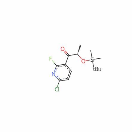 C[C@@H](O[Si](C)(C)C(C)(C)C)C(=O)c1ccc(Cl)nc1F